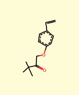 C=Cc1ccc(OCC(=O)C(C)(C)C)cc1